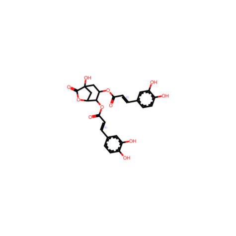 O=C(/C=C/c1ccc(O)c(O)c1)OC1CC2(O)CC(OC2=O)C1OC(=O)/C=C/c1ccc(O)c(O)c1